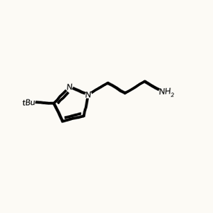 CC(C)(C)c1ccn(CCCN)n1